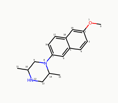 COc1ccc2cc(N3CC(C)NCC3C)ccc2c1